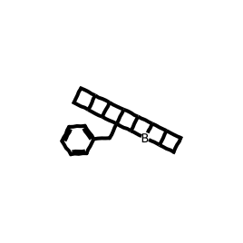 c1ccc(CC23C4B5C6CCC6C5C4C2C2C4CCC4C23)cc1